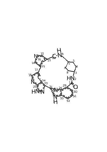 O=C1NC2CCC(CC2)NCc2cncc(c2)-c2cnc3[nH]nc(c3c2)-c2nc3c1cccc3[nH]2